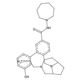 C=CCN1CCC2CCC(C1)N2Cc1ccc(C(=O)NN2CCCCCC2)cc1-c1cccc(O)c1